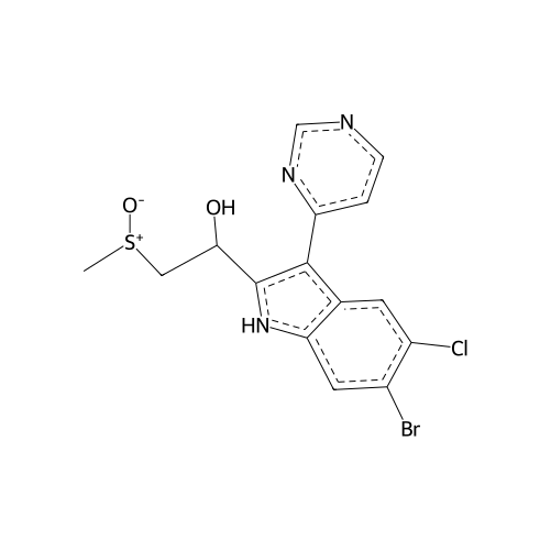 C[S+]([O-])CC(O)c1[nH]c2cc(Br)c(Cl)cc2c1-c1ccncn1